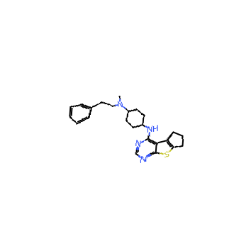 CN(CCc1ccccc1)C1CCC(Nc2ncnc3sc4c(c23)CCC4)CC1